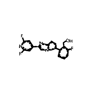 OCc1c(F)cccc1-c1ccc2nc(-c3cc(F)nc(F)c3)cn2c1